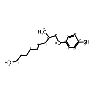 CCCCCCCCC(C)COc1ccc(S)cc1